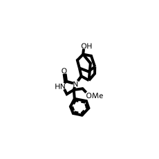 COCC1(c2ccccc2)CNC(=O)N1C1C2CC3CC1CC(O)(C3)C2